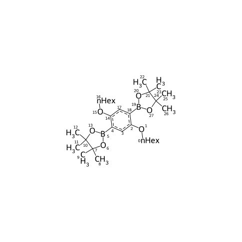 CCCCCCOc1cc(B2OC(C)(C)C(C)(C)O2)c(OCCCCCC)cc1B1OC(C)(C)C(C)(C)O1